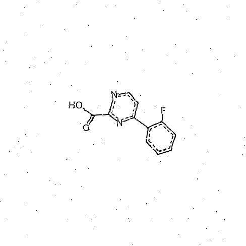 O=C(O)c1nccc(-c2ccccc2F)n1